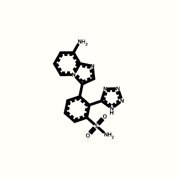 Nc1cccn2c(-c3cccc(S(N)(=O)=O)c3-c3nnn[nH]3)cnc12